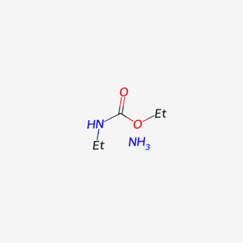 CCNC(=O)OCC.N